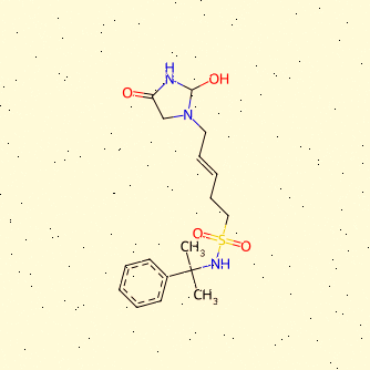 CC(C)(NS(=O)(=O)CC/C=C/CN1CC(=O)NC1O)c1ccccc1